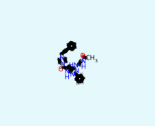 CC(=O)NCCNc1nc(-c2ccccc2)nc2[nH]c(C(=O)N3CCN(CC#Cc4ccccc4)CC3)cc12